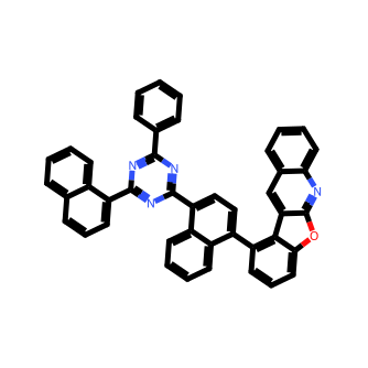 c1ccc(-c2nc(-c3cccc4ccccc34)nc(-c3ccc(-c4cccc5oc6nc7ccccc7cc6c45)c4ccccc34)n2)cc1